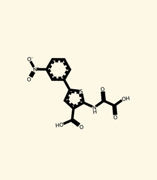 O=C(O)C(=O)Nc1sc(-c2cccc([N+](=O)[O-])c2)cc1C(=O)O